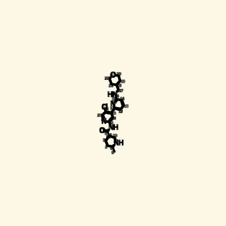 C[C@H]1CC[C@@H](C(=O)Nc2cc(-c3cccc(NCC4CCOCC4)n3)c(Cl)cn2)CN1